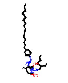 CCCCCCCCCCCCCCc1ccc(N=Nc2c(C)cc(=O)n(CC(CC)CCCC)c2O)cc1